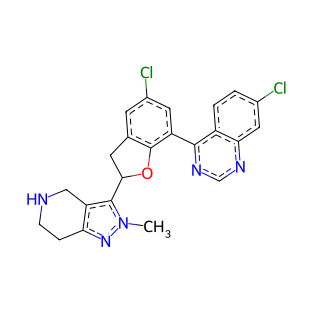 Cn1nc2c(c1C1Cc3cc(Cl)cc(-c4ncnc5cc(Cl)ccc45)c3O1)CNCC2